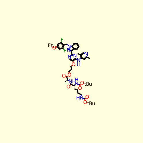 CCOc1cc(F)c(Cn2nc(-c3ncc(OCCCOC(=O)[C@H](C)NC(=O)[C@@H](CCCCNC(=O)OC(C)(C)C)NC(=O)OC(C)(C)C)c(Nc4cc(C)ncc4C)n3)c3ccccc32)c(F)c1